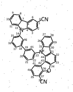 N#Cc1ccc2c(c1)c1ccccc1n2-c1cccc(-c2cccc(-n3c4ccccc4c4ccc5oc6c(C#N)cccc6c5c43)c2)c1